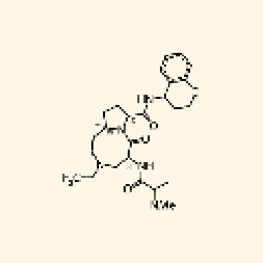 CNC(C)C(=O)N[C@H]1CN(CC(F)(F)F)CC[C@H]2CC[C@@H](C(=O)NC3CCOc4ccccc43)N2C1=O